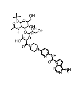 CNc1ncnc2c1ccn2C(=O)Nc1ccc(N2CCN(C(=O)C(OC(OC3C(O)C(CO)OC(OC(C)(C)C)C3NC(C)=O)[C@@H](O)CO)[C@H](C)O)CC2)cn1